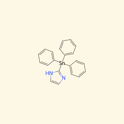 c1cc[c]([Sn]([c]2ccccc2)([c]2ccccc2)[c]2ncc[nH]2)cc1